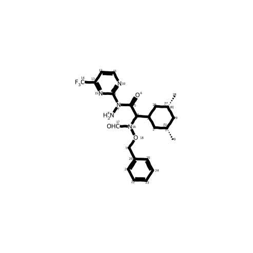 C[C@@H]1CC(C(C(=O)N(N)c2nccc(C(F)(F)F)n2)N(C=O)OCc2ccccc2)C[C@H](C)C1